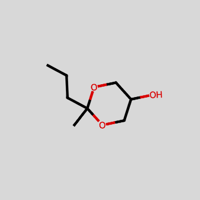 CCCC1(C)OCC(O)CO1